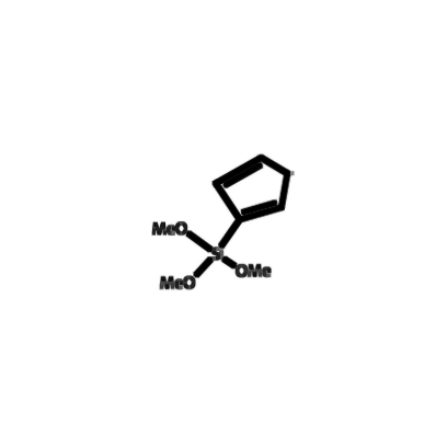 CO[Si](OC)(OC)C1=C[CH]C=C1